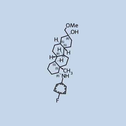 COC[C@@]1(O)CC[C@H]2[C@@H](CC[C@@H]3[C@@H]2CC[C@]2(C)[C@H](Nc4ccc(F)cc4)CCC[C@@H]32)C1